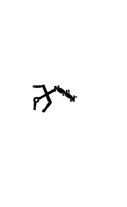 CCC(CC)(N=[N+]=[N-])OC